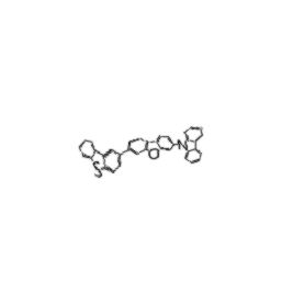 c1ccc2c(c1)sc1ccc(-c3ccc4c(c3)oc3cc(-n5c6ccccc6c6ccccc65)ccc34)cc12